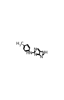 Cc1ccc(Nc2ncc3[nH]cnc3n2)cc1